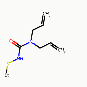 C=CCN(CC=C)C(=O)NSCC